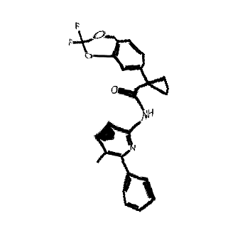 Cc1ccc(NC(=O)C2(c3ccc4c(c3)OC(F)(F)O4)CC2)nc1-c1ccccc1